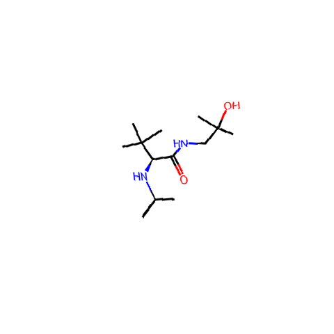 CC(C)N[C@H](C(=O)NCC(C)(C)O)C(C)(C)C